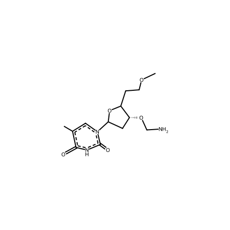 COCCC1OC(n2cc(C)c(=O)[nH]c2=O)C[C@H]1OCN